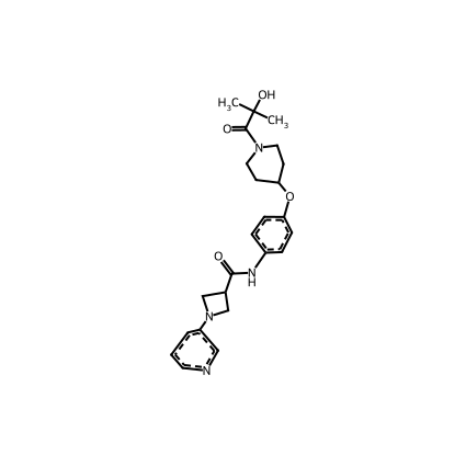 CC(C)(O)C(=O)N1CCC(Oc2ccc(NC(=O)C3CN(c4cccnc4)C3)cc2)CC1